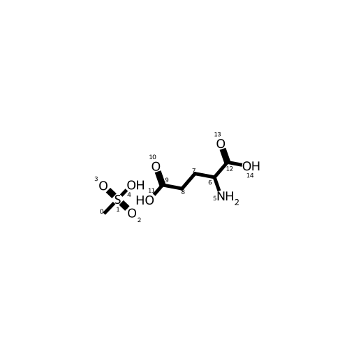 CS(=O)(=O)O.NC(CCC(=O)O)C(=O)O